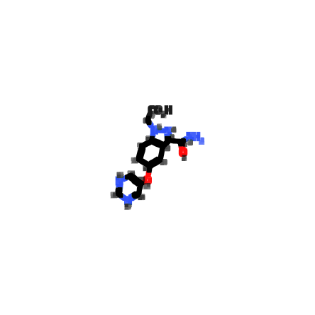 NC(=O)c1nn(CC(=O)O)c2ccc(Oc3cncnc3)cc12